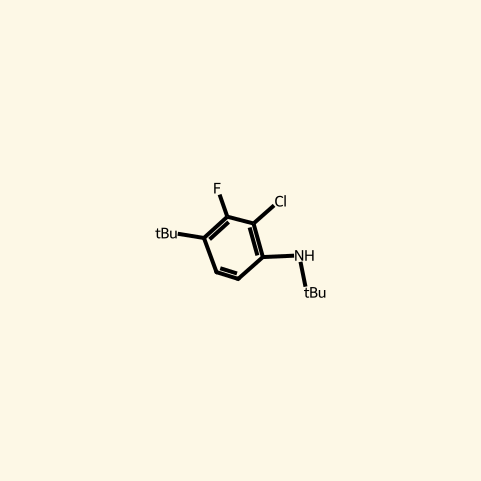 CC(C)(C)Nc1ccc(C(C)(C)C)c(F)c1Cl